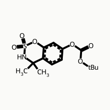 CC(C)(C)OC(=O)Oc1ccc2c(c1)OS(=O)(=O)NC2(C)C